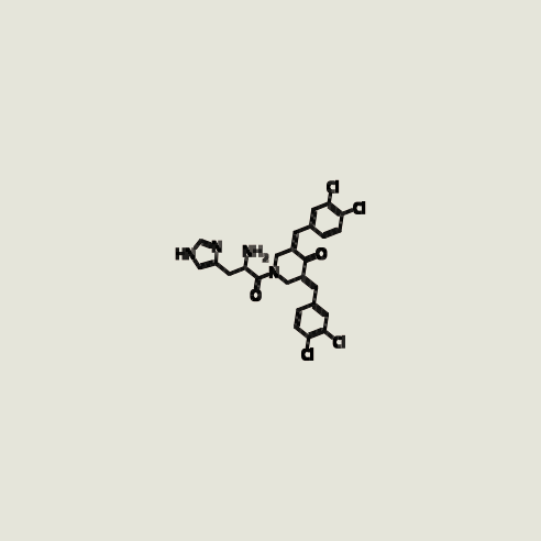 NC(Cc1c[nH]cn1)C(=O)N1CC(=Cc2ccc(Cl)c(Cl)c2)C(=O)C(=Cc2ccc(Cl)c(Cl)c2)C1